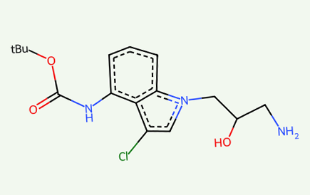 CC(C)(C)OC(=O)Nc1cccc2c1c(Cl)cn2CC(O)CN